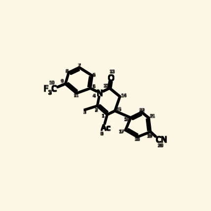 CC(=O)C1=C(C)N(c2cccc(C(F)(F)F)c2)C(=O)CC1c1ccc(C#N)cc1